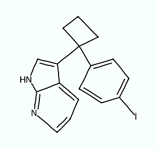 Ic1ccc(C2(c3c[nH]c4ncccc34)CCC2)cc1